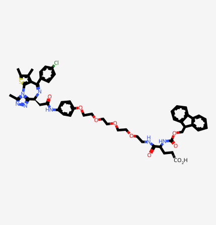 Cc1sc2c(c1C)C(c1ccc(Cl)cc1)=N[C@@H](CC(=O)Nc1ccc(OCCOCCOCCOCCNC(=O)C(CCC(=O)O)NC(=O)OCC3c4ccccc4-c4ccccc43)cc1)c1nnc(C)n1-2